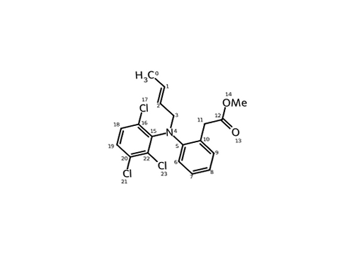 CC=CCN(c1ccccc1CC(=O)OC)c1c(Cl)ccc(Cl)c1Cl